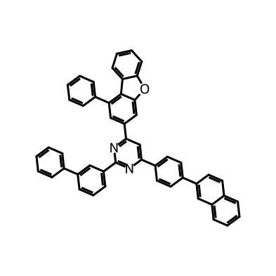 c1ccc(-c2cccc(-c3nc(-c4ccc(-c5ccc6ccccc6c5)cc4)cc(-c4cc(-c5ccccc5)c5c(c4)oc4ccccc45)n3)c2)cc1